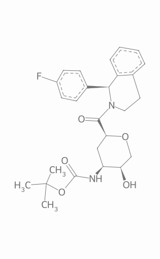 CC(C)(C)OC(=O)N[C@H]1C[C@@H](C(=O)N2CCc3ccccc3[C@@H]2c2ccc(F)cc2)OC[C@H]1O